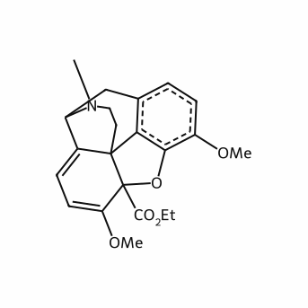 CCOC(=O)C12Oc3c(OC)ccc4c3C13CCN(C)C(C4)C3=CC=C2OC